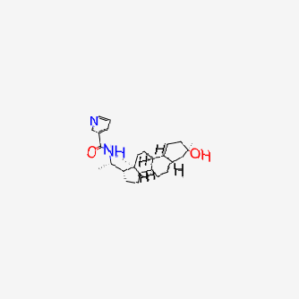 C[C@H](NC(=O)c1cccnc1)[C@H]1CC[C@H]2[C@@H]3CC[C@@H]4C[C@](C)(O)CC[C@@H]4[C@H]3CC[C@]12C